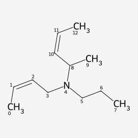 C/C=C\CN(CCC)C(C)/C=C\C